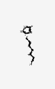 CCCCCCI.c1ccsc1